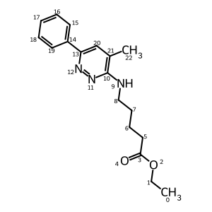 CCOC(=O)CCCCNc1nnc(-c2ccccc2)cc1C